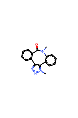 CN1C(=O)c2ccccc2-c2nnn(C)c2-c2ccccc21